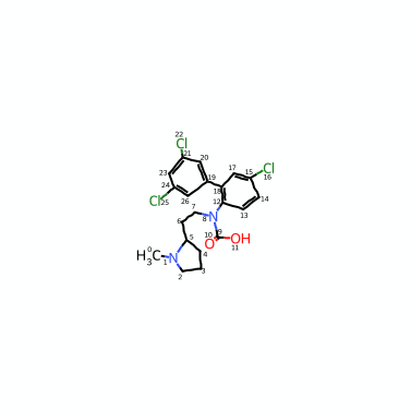 CN1CCCC1CCN(C(=O)O)c1ccc(Cl)cc1-c1cc(Cl)cc(Cl)c1